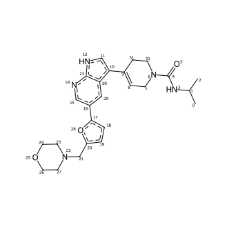 CC(C)NC(=O)N1CC=C(c2c[nH]c3ncc(-c4ccc(CN5CCOCC5)o4)cc23)CC1